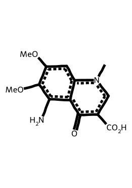 COc1cc2c(c(N)c1OC)c(=O)c(C(=O)O)cn2C